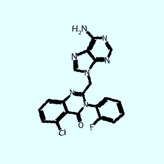 Nc1ncnc2c1ncn2Cc1nc2cccc(Cl)c2c(=O)n1-c1ccccc1F